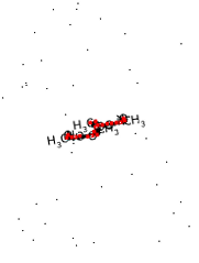 Cc1ccc(OCCCOCCCCc2cc(C)on2)c(-c2cc(OCCCCOCCCc3cc(C)on3)ccc2C)c1